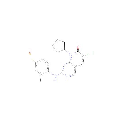 Cc1cc([S+]=O)ccc1Nc1ncc2cc(Cl)c(=O)n(C3CCCC3)c2n1